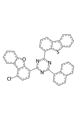 Clc1ccc(-c2nc(-c3cccc4ccccc34)nc(-c3cccc4c3sc3ccccc34)n2)c2oc3ccccc3c12